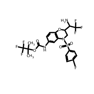 CC(C)(OC(=O)Nc1ccc2c(c1)N(S(=O)(=O)c1ccc(F)cc1)CC(C(N)C(F)(F)F)O2)C(F)(F)F